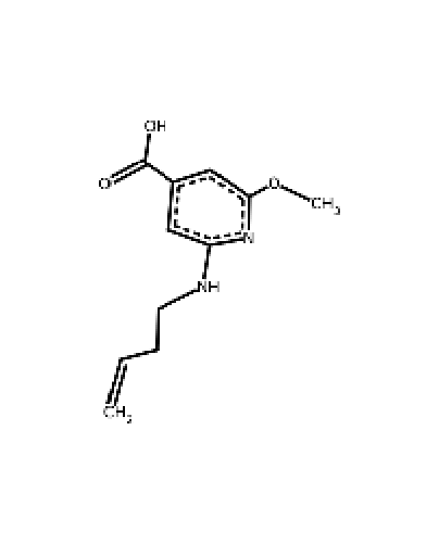 C=CCCNc1cc(C(=O)O)cc(OC)n1